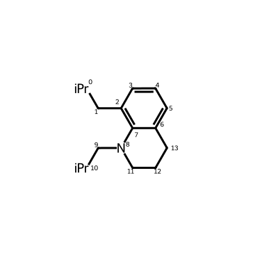 CC(C)Cc1cccc2c1N(CC(C)C)CCC2